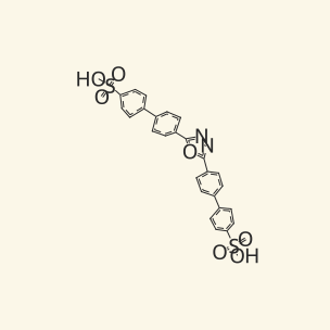 O=S(=O)(O)c1ccc(-c2ccc(-c3nnc(-c4ccc(-c5ccc(S(=O)(=O)O)cc5)cc4)o3)cc2)cc1